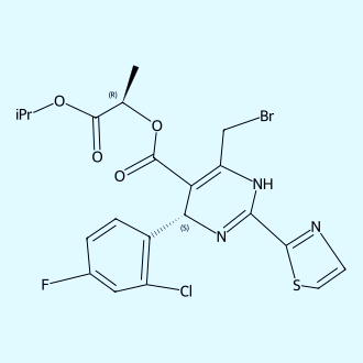 CC(C)OC(=O)[C@@H](C)OC(=O)C1=C(CBr)NC(c2nccs2)=N[C@@H]1c1ccc(F)cc1Cl